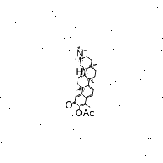 C#[N+][C@]1(C)CC[C@]2(C)CC[C@]3(C)C4=CC=C5C(=CC(=O)C(OC(C)=O)=C5C)[C@]4(C)CC[C@@]3(C)[C@@H]2C1